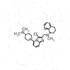 CN(C)C1CCN(c2cccc3nc(CN(C)[C@H]4CCCc5cccnc54)c(Cl)n23)CC1